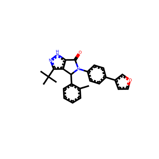 Cc1ccccc1C1c2c(C(C)(C)C)n[nH]c2C(=O)N1c1ccc(-c2ccoc2)cc1